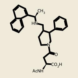 CC(=O)N[C@@H](CC(=O)N1CCC(CN[C@H](C)c2cccc3ccccc23)C(c2ccccc2)C1)C(=O)O